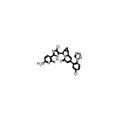 Nc1ccc(-c2nc(Cl)c(C3C4CC4c4cc(-c5cc(Cl)ccc5-n5cnnn5)cc(=O)n43)[nH]2)c(F)n1